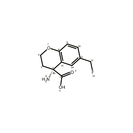 N[C@]1(C(=O)O)CCOc2ccc(CF)cc21